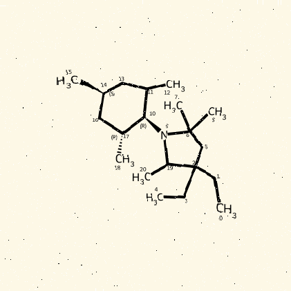 CCC1(CC)CC(C)(C)N([C@@H]2C(C)C[C@H](C)C[C@H]2C)C1C